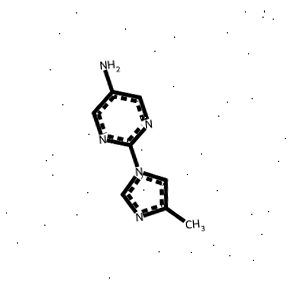 Cc1cn(-c2ncc(N)cn2)cn1